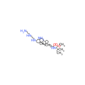 CCC(C)[C@H](NC(=O)CCC[C@H]1CCC2C3CC[C@]4(N)C[C@@H](NCCCNCCCN)CC[C@]4(C)C3CC[C@@]21C)C(=O)OC